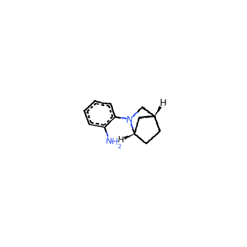 Nc1ccccc1N1C[C@@H]2CC[C@H]1C2